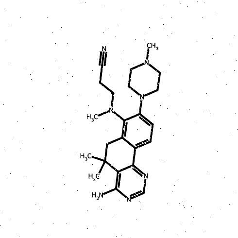 CN1CCN(c2ccc3c(c2N(C)CCC#N)CC(C)(C)c2c(N)ncnc2-3)CC1